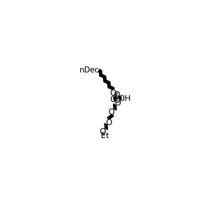 CCCCCCCCCCCCCCCCCOOP(=O)(O)OCCOCCOCCOCC